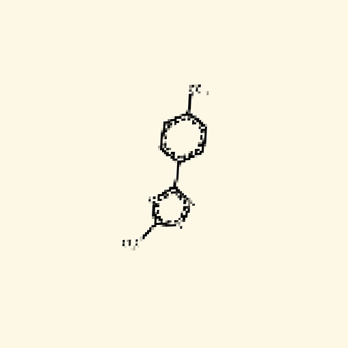 ClC(Cl)(Cl)c1ccc(-c2nnc(C(Cl)(Cl)Cl)o2)cc1